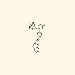 O=S(=O)(Oc1ccc(F)cc1-c1ccc(OCc2ccc3ccccc3n2)cc1)C(F)(F)F